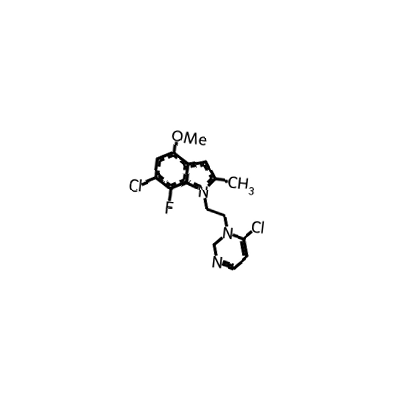 COc1cc(Cl)c(F)c2c1cc(C)n2CCN1CN=CC=C1Cl